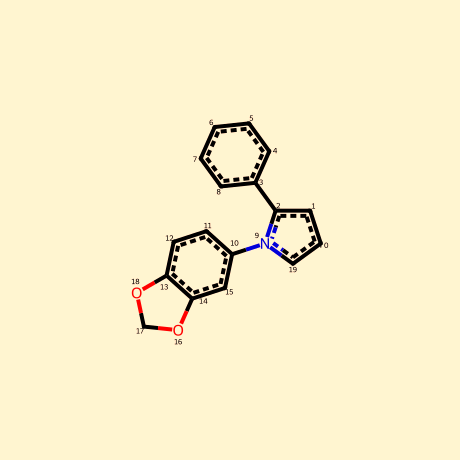 [c]1cc(-c2ccccc2)n(-c2ccc3c(c2)OCO3)c1